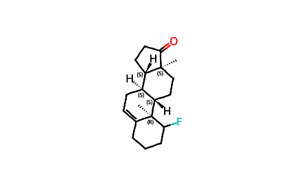 C[C@]12CC[C@H]3[C@@H](CC=C4CCCC(F)[C@@]43C)[C@@H]1CCC2=O